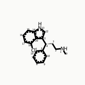 CNCC[C@H](c1ccccc1)c1c[nH]c2cccc(Cl)c12